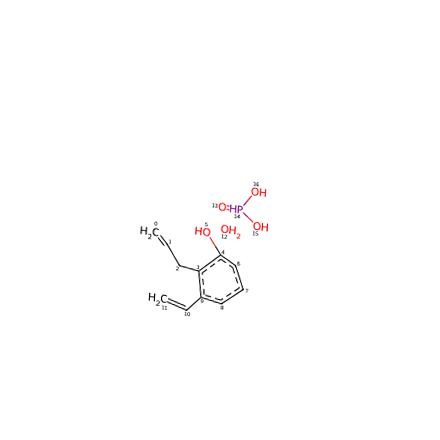 C=CCc1c(O)cccc1C=C.O.O=[PH](O)O